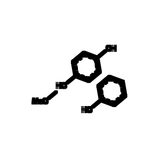 COC.Oc1ccc(O)cc1.Oc1ccccc1